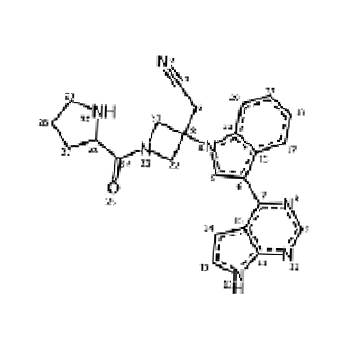 N#CCC1(n2cc(-c3ncnc4[nH]ccc34)c3ccccc32)CN(C(=O)C2CCCN2)C1